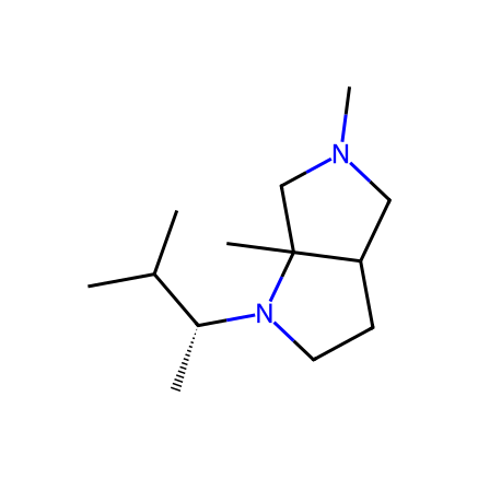 CC(C)[C@@H](C)N1CCC2CN(C)CC21C